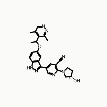 Cc1cnnc(C)c1C(C)Oc1ccc2[nH]nc(-c3cnc(N4CC[C@H](O)C4)c(C#N)c3)c2c1